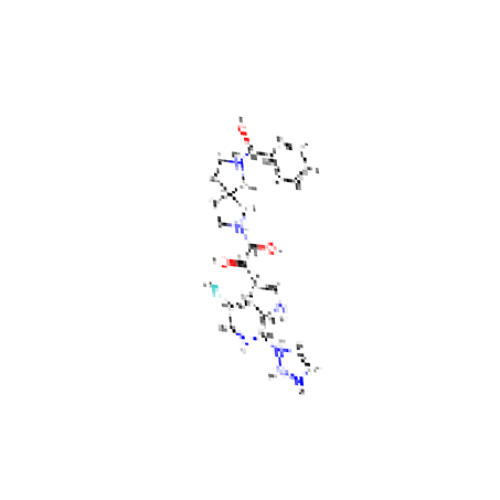 O=C(C(=O)N1CCC2(CCN(C(=O)c3ccccc3)C2)C1)c1c[nH]c2c(-n3ccnn3)ncc(F)c12